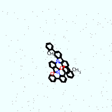 Cc1ccccc1-c1ccc2c3ccc(-c4ccccc4C)cc3n(-c3cccc4c3C(=O)N(c3c(-c5ccccc5)cccc3-c3ccccc3)C4=O)c2c1